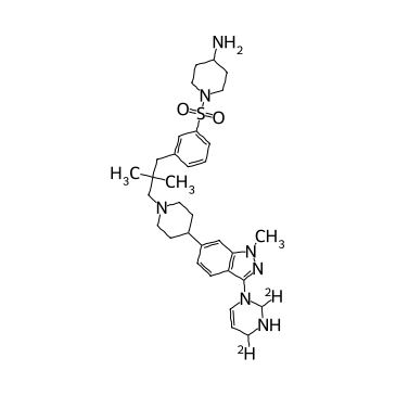 [2H]C1C=CN(c2nn(C)c3cc(C4CCN(CC(C)(C)Cc5cccc(S(=O)(=O)N6CCC(N)CC6)c5)CC4)ccc23)C([2H])N1